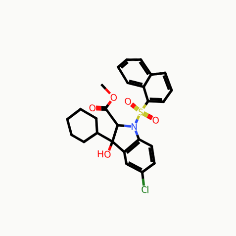 COC(=O)C1N(S(=O)(=O)c2cccc3ccccc23)c2ccc(Cl)cc2C1(O)C1CCCCC1